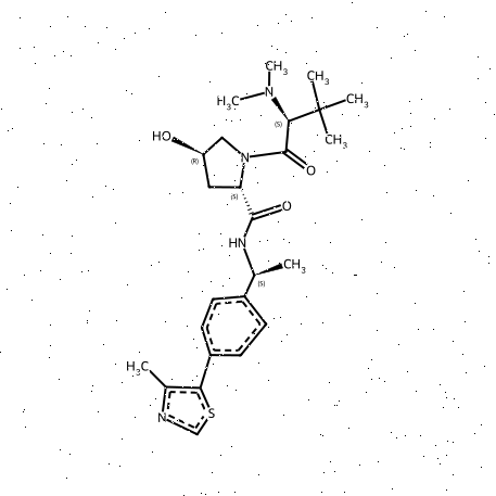 Cc1ncsc1-c1ccc([C@H](C)NC(=O)[C@@H]2C[C@@H](O)CN2C(=O)[C@@H](N(C)C)C(C)(C)C)cc1